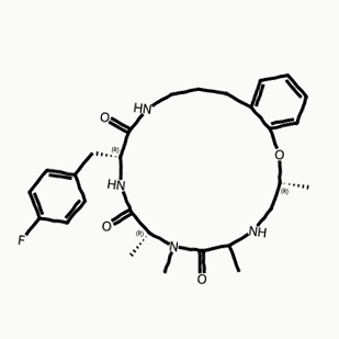 CC1NC[C@@H](C)Oc2ccccc2CCCNC(=O)[C@@H](Cc2ccc(F)cc2)NC(=O)[C@@H](C)N(C)C1=O